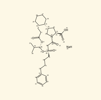 CCC(=O)O[C@H](O[P@](=O)(CCCCc1ccccc1)CC(=O)N1C[C@H](C2CCCCC2)C[C@H]1C(=O)O)C(C)C.[NaH]